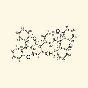 C=C/C=C1/Oc2ccccc2B2C1=C(Cc1ccc3c(c1)B1c4ccccc4Oc4cccc(c41)O3)Oc1ccccc12